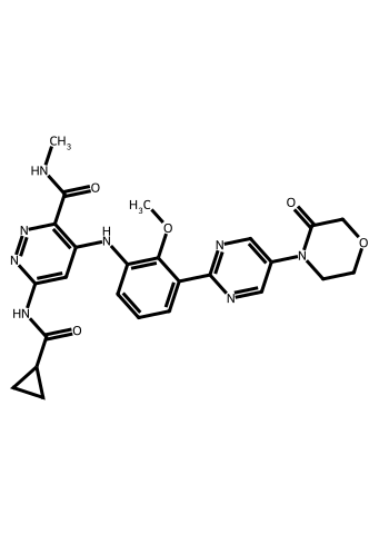 CNC(=O)c1nnc(NC(=O)C2CC2)cc1Nc1cccc(-c2ncc(N3CCOCC3=O)cn2)c1OC